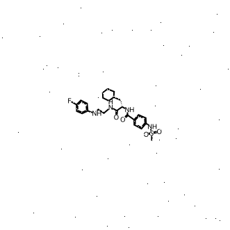 CS(=O)(=O)Nc1ccc(C(=O)N[C@@H](CC2CCCCC2)C(=O)NCCNc2ccc(F)cc2)cc1